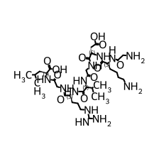 CC(C)C[C@H](NC(=O)CNC(=O)[C@H](CCCNC(=N)N)NC(=O)[C@@H](NC(=O)CNC(=O)[C@H](CC(=O)O)NC(=O)[C@H](CCCCN)NC(=O)CN)C(C)C)C(=O)O